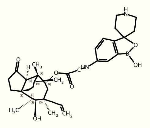 C=C[C@]1(C)C[C@@H](OC(=O)CNc2ccc3c(c2)B(O)OC32CCNCC2)[C@]2(C)[C@H](C)CC[C@]3(CCC(=O)[C@H]32)[C@@H](C)[C@@H]1O